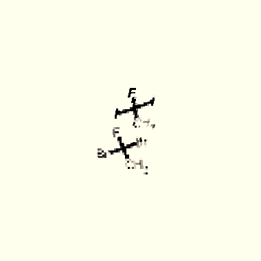 CC(F)(Br)Br.CC(F)(I)I